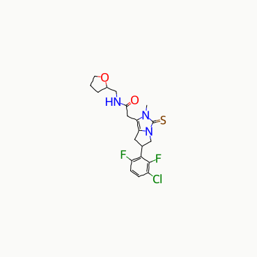 Cn1c(CC(=O)NCC2CCCO2)c2n(c1=S)CC(c1c(F)ccc(Cl)c1F)C2